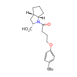 CC(C)(C)c1ccc(OCCCC(=O)N2[C@H](C(=O)O)C[C@@H]3CCC[C@@H]32)cc1